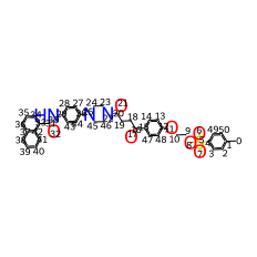 Cc1ccc(S(=O)(=O)OCCOc2ccc(C(=O)CCC(=O)N3CCN(c4ccc(NC(=O)c5cccc6ccccc56)cc4)CC3)cc2)cc1